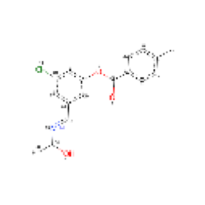 Cc1ccc(C(=O)Oc2cc(Cl)cc(/C=N/C(O)C(C)C)c2)cc1